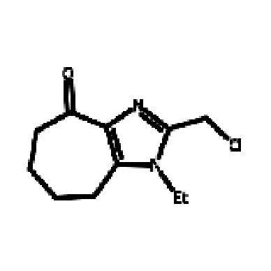 CCn1c(CCl)nc2c1CCCCC2=O